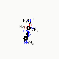 CNc1cc(Nc2cc(-c3ccc4cnn(C)c4c3)ncn2)c(OC)cc1OCCN(C)C